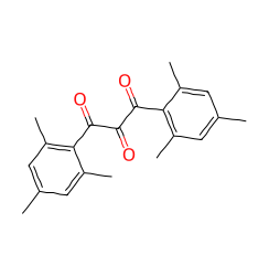 Cc1cc(C)c(C(=O)C(=O)C(=O)c2c(C)cc(C)cc2C)c(C)c1